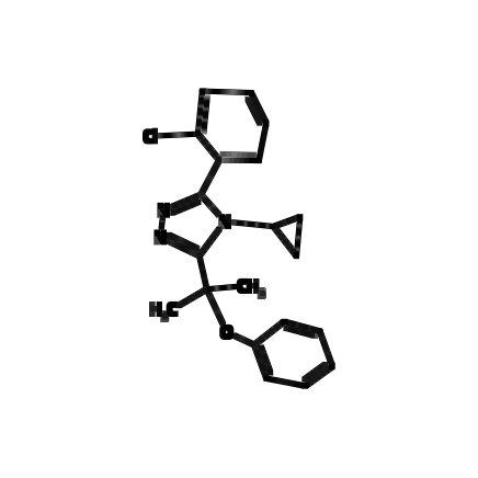 CC(C)(Oc1ccccc1)c1nnc(-c2ccccc2Cl)n1C1CC1